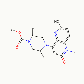 CC1CN(C(=O)OC(C)(C)C)[C@@H](C)CN1c1cc(=O)n(C)c2ccc(C#N)nc12